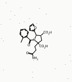 Cc1ccccc1C(=O)N1C(c2ccco2)C(C(=O)O)CC1(CCC(N)=O)C(=O)O